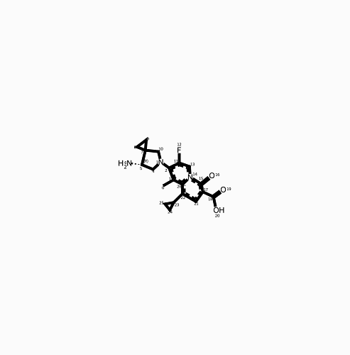 Cc1c(N2C[C@H](N)C3(CC3)C2)c(F)cn2c(=O)c(C(=O)O)cc(C3CC3)c12